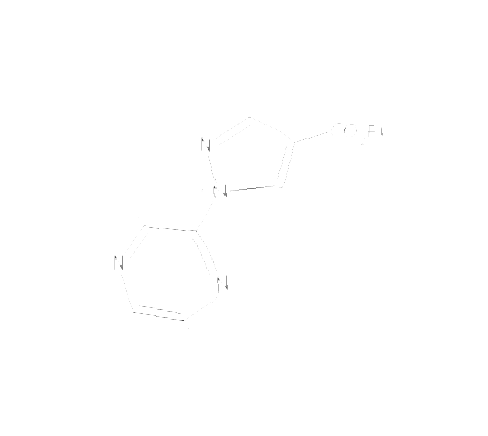 CCOC(=O)c1cnn(-c2cnccn2)c1